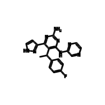 CC(c1ccc(F)cc1)c1c(Nc2cnccn2)nc(N)nc1-c1cc[nH]n1